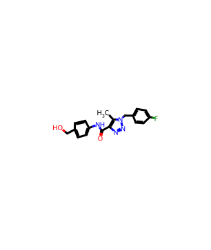 Cc1c(C(=O)Nc2ccc(CO)cc2)nnn1Cc1ccc(F)cc1